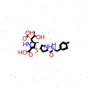 Cc1ccc(CNC(=O)[C@@H]2C[C@H](SC3=C(C(=O)O)N[C@@H]([C@H](C(=O)O)[C@@H](C)O)[C@H]3C)CN2)cc1